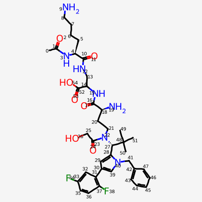 CC(=O)N[C@@H](CCCCN)C(=O)NCC(NC(=O)[C@@H](N)CCN(C(=O)CO)[C@@H](c1cc(-c2cc(F)ccc2F)cn1Cc1ccccc1)C(C)(C)C)C(=O)O